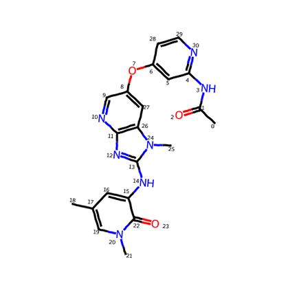 CC(=O)Nc1cc(Oc2cnc3nc(Nc4cc(C)cn(C)c4=O)n(C)c3c2)ccn1